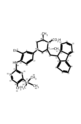 CCc1cc(N2C[C@@H](C)N(C(=O)O)[C@@](C)(CC3c4ccccc4-c4ccccc43)C2)ccc1Nc1ncc(C(F)(F)F)[c]([Sn]([CH3])([CH3])[CH3])n1